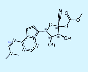 COC(=O)O[C@@]1(C#N)O[C@@H](c2ccc3c(/N=C\N(C)C)ncnn23)[C@H](O)[C@@H]1O